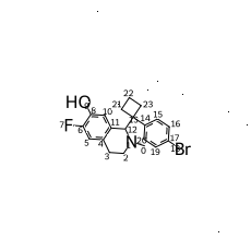 CN1CCc2cc(F)c(O)cc2C1C1(c2ccc(Br)cc2)CCC1